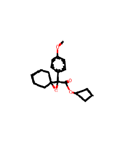 COc1ccc(C2(C(=O)OC3CCC3)OC23CCCCC3)cc1